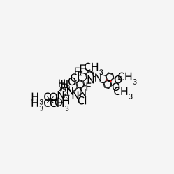 COc1ccc(CN(Cc2ccc(OC)cc2)c2cc(C)c(C(F)(F)F)c(-c3c(Cl)c4c5c(nc(Cl)nc5c3F)N3C[C@H]5CC[C@H](CN5C(=O)OC(C)(C)C)[C@H]3CO4)n2)cc1